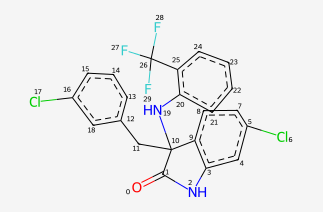 O=C1Nc2cc(Cl)ccc2C1(Cc1cccc(Cl)c1)Nc1ccccc1C(F)(F)F